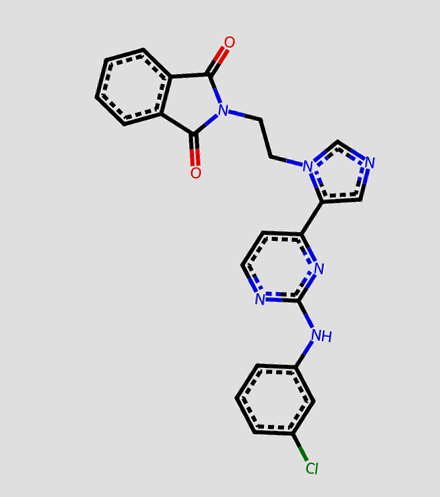 O=C1c2ccccc2C(=O)N1CCn1cncc1-c1ccnc(Nc2cccc(Cl)c2)n1